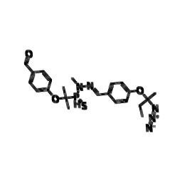 CCC(C)(N=[N+]=[N-])Oc1ccc(/C=N/N(C)[PH](=S)C(C)(C)Oc2ccc(C=O)cc2)cc1